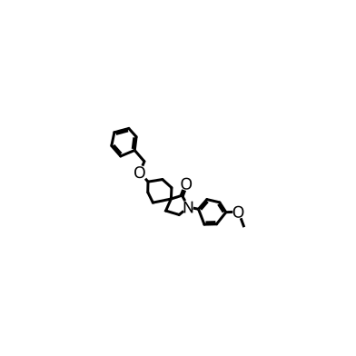 COc1ccc(N2CCC3(CCC(OCc4ccccc4)CC3)C2=O)cc1